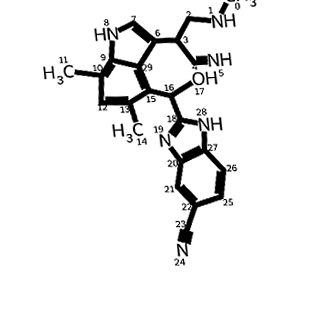 CNCC(C=N)c1c[nH]c2c(C)cc(C)c(C(O)c3nc4cc(C#N)ccc4[nH]3)c12